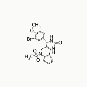 COc1ccc(C2NC(=O)NC3=C2CN(S(C)(=O)=O)c2ccccc23)cc1Br